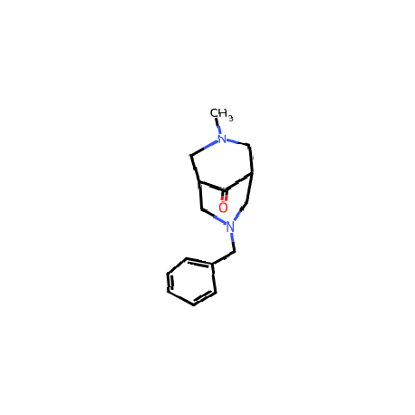 CN1CC2CN(Cc3ccccc3)CC(C1)C2=O